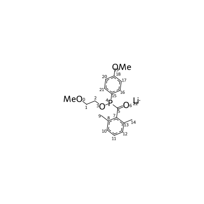 COCCOP(C(=O)c1c(C)cccc1C)c1ccc(OC)cc1.[Li]